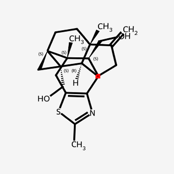 C=C1CC[C@H]2[C@@]3(CO)C[C@]3([C@@]3(C)Cc4sc(C)nc4C[C@@H]3CO)CC[C@]12C